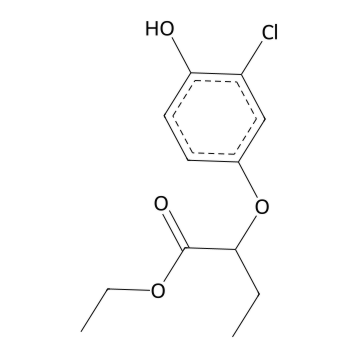 CCOC(=O)C(CC)Oc1ccc(O)c(Cl)c1